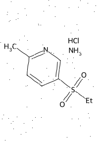 CCS(=O)(=O)c1ccc(C)nc1.Cl.N